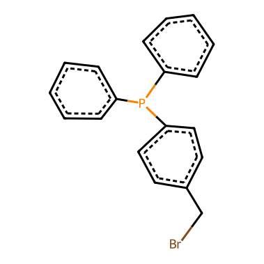 BrCc1ccc(P(c2ccccc2)c2ccccc2)cc1